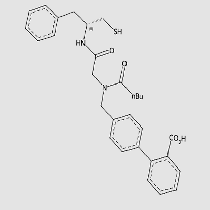 CCCCC(=O)N(CC(=O)N[C@@H](CS)Cc1ccccc1)Cc1ccc(-c2ccccc2C(=O)O)cc1